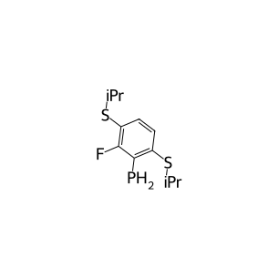 CC(C)Sc1ccc(SC(C)C)c(P)c1F